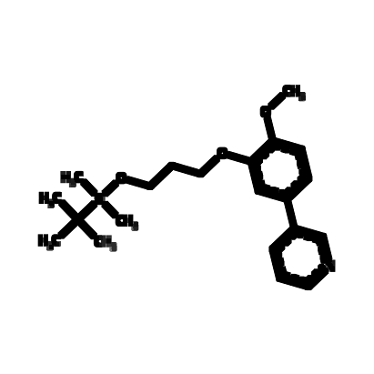 COc1ccc(-c2cccnc2)cc1OCCCO[Si](C)(C)C(C)(C)C